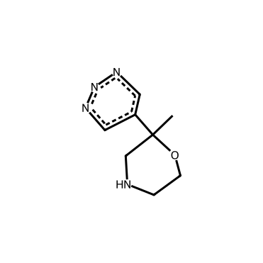 CC1(c2cnnnc2)CNCCO1